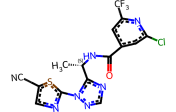 C[C@H](NC(=O)c1cc(Cl)nc(C(F)(F)F)c1)c1ncnn1-c1ncc(C#N)s1